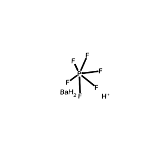 F[P-](F)(F)(F)(F)F.[BaH2].[H+]